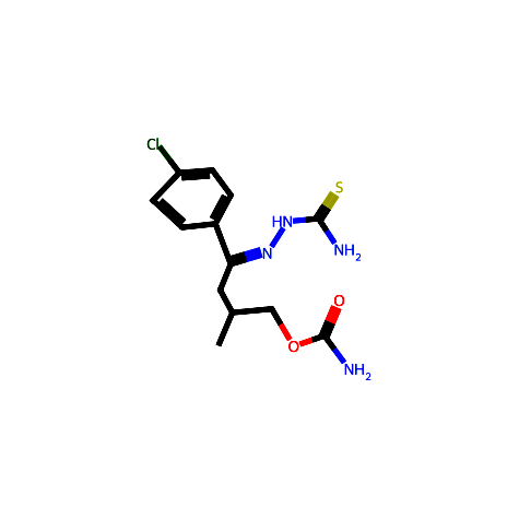 CC(COC(N)=O)CC(=NNC(N)=S)c1ccc(Cl)cc1